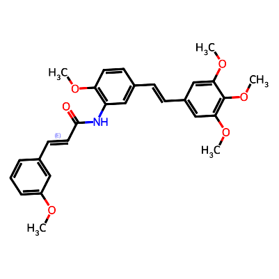 COc1cccc(/C=C/C(=O)Nc2cc(C=Cc3cc(OC)c(OC)c(OC)c3)ccc2OC)c1